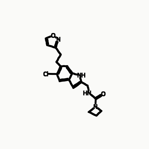 O=C(NCc1cc2cc(Cl)c(CCc3ccon3)cc2[nH]1)N1CCC1